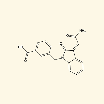 NC(=O)C=C1C(=O)N(Cc2cccc(C(=O)O)c2)c2ccccc21